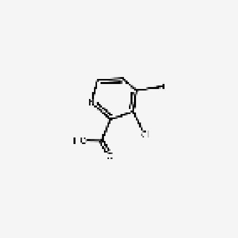 O=C(O)c1nccc(I)c1Cl